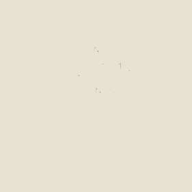 Pc1nc2ccccc2nc1N1CCC(c2ccccc2)CC1